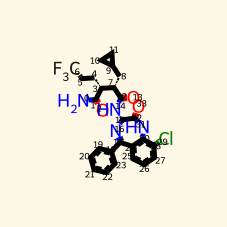 NC(=O)[C@H](CCC(F)(F)F)[C@H](CC1CC1)C(=O)N[C@H]1N=C(c2ccccc2)c2cccc(Cl)c2NC1=O